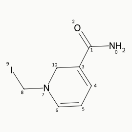 NC(=O)C1=CC=CN(CI)C1